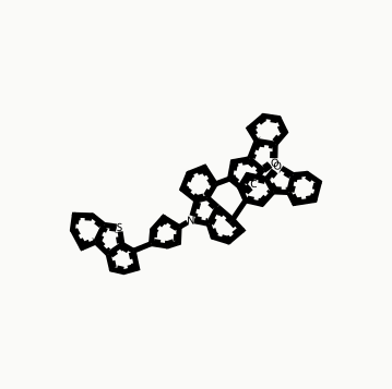 c1ccc2c(c1)oc1ccc(-c3cccc4c3c3c(-c5ccc6oc7ccccc7c6c5)cccc3n4-c3ccc(-c4cccc5c4sc4ccccc45)cc3)cc12